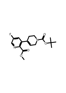 COC(=O)c1ncc(F)cc1C1=CCN(C(=O)OC(C)(C)C)CC1